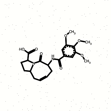 COc1cc(C(=O)NC2C/C=C\CC3CCC(C(=O)O)N3C2=O)cc(OC)c1OC